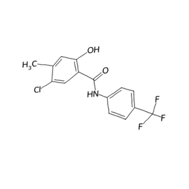 Cc1cc(O)c(C(=O)Nc2ccc(C(F)(F)F)cc2)cc1Cl